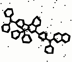 c1ccc(N(c2ccccc2)c2ccc3c(c2)C(c2ccccc2)(c2ccccc2)c2cc(-c4cnc(N(c5ccccc5)c5ccc6ccccc6c5)nc4)c4ccccc4c2-3)cc1